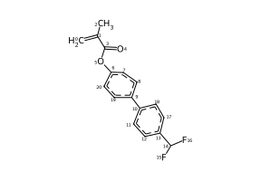 C=C(C)C(=O)Oc1ccc(-c2ccc(C(F)F)cc2)cc1